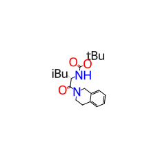 CCC(C)[C@H](NC(=O)OC(C)(C)C)C(=O)N1CCc2ccccc2C1